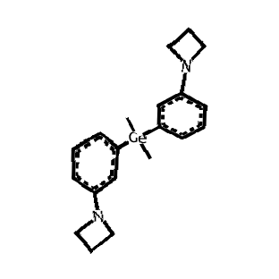 [CH3][Ge]([CH3])([c]1cccc(N2CCC2)c1)[c]1cccc(N2CCC2)c1